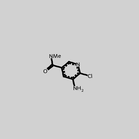 CNC(=O)c1cnc(Cl)c(N)c1